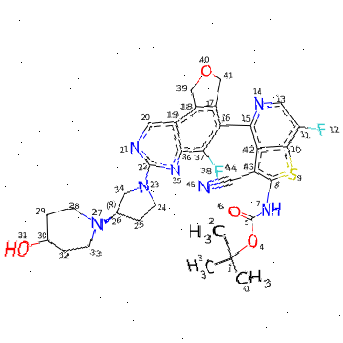 CC(C)(C)OC(=O)Nc1sc2c(F)cnc(-c3c4c(c5cnc(N6CC[C@@H](N7CCC(O)CC7)C6)nc5c3F)COC4)c2c1C#N